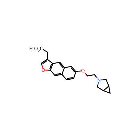 CCOC(=O)Cc1coc2cc3ccc(OCCN4CC5CC5C4)cc3cc12